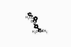 Cc1nn(C)cc1-c1ccc(CN2Cc3cccc(OCC4(C)CCCO4)c3C2=O)cc1